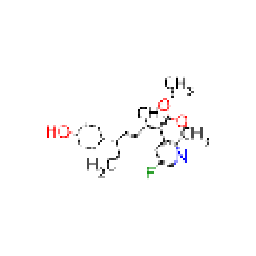 C=C[C@@H](/C=C/C(C)=C(/C(=O)OCC)c1cc(F)cnc1C)C1CCC(O)CC1